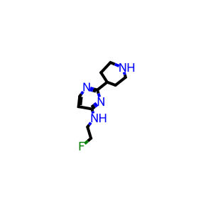 FCCNc1ccnc(C2CCNCC2)n1